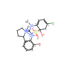 CCC1CCC[N+]1(CC)NS(=O)(=O)C1(O)CC(Cl)=CC=C1N(C#N)C(=N)Nc1ccccc1Br